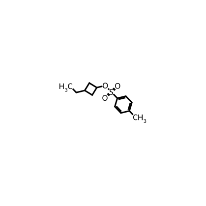 CCC1CC(OS(=O)(=O)c2ccc(C)cc2)C1